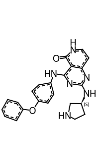 O=c1[nH]ccc2nc(N[C@H]3CCNC3)nc(Nc3ccc(Oc4ccccc4)cc3)c12